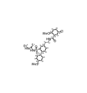 CCNC(=S)NS(=O)(=O)c1cc(CCNC(=O)c2cc(Cl)ccc2OC)ccc1-c1ccc(SC)cc1